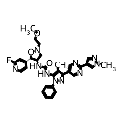 COCCN1C[C@@H](NC(=O)Nc2c(C)c(-c3cnc(-c4cnn(C)c4)nc3)nn2-c2ccccc2)[C@H](c2ccnc(F)c2)O1